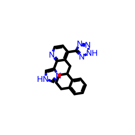 c1ccc2c(c1)CCCC2Cc1c(-c2nn[nH]n2)ccnc1-c1c[nH]cn1